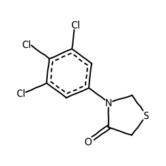 O=C1CSCN1c1cc(Cl)c(Cl)c(Cl)c1